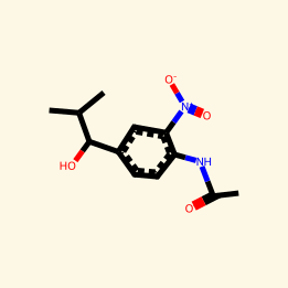 CC(=O)Nc1ccc(C(O)C(C)C)cc1[N+](=O)[O-]